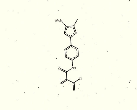 C=C(Cl)C(=C)C(=O)Nc1ccc(-c2cc(NC)n(C)n2)cc1